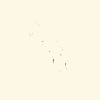 Cc1c(-c2cc3cc(N)ncc3c(Cl)c2F)cncc1N(C)C(=O)O